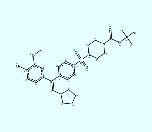 COc1nc(/C(=C/C2CCCC2)c2ccc(S(=O)(=O)N3CCN(C(=O)OC(C)(C)C)CC3)cc2)ccc1Cl